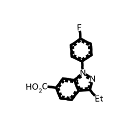 CCc1nn(-c2ccc(F)cc2)c2cc(C(=O)O)ccc12